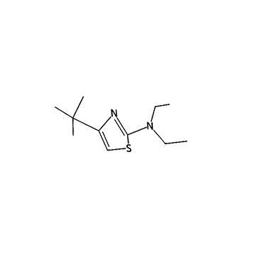 CCN(CC)c1nc(C(C)(C)C)cs1